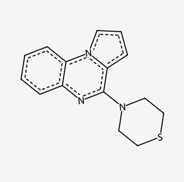 c1ccc2c(c1)nc(N1CCSCC1)c1cccn12